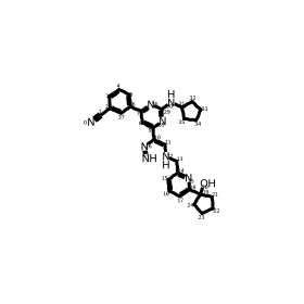 N#Cc1cccc(-c2cc(/C(=C/NCc3cccc(C4(O)CCCC4)n3)N=N)nc(NC3CCCC3)n2)c1